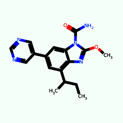 CCC(C)c1cc(-c2cncnc2)cc2c1nc(OC)n2C(N)=O